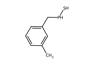 Cc1cccc(CPS)c1